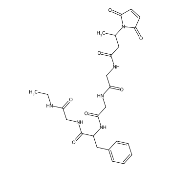 CCNC(=O)CNC(=O)C(Cc1ccccc1)NC(=O)CNC(=O)CNC(=O)CC(C)N1C(=O)C=CC1=O